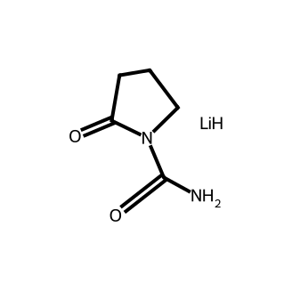 NC(=O)N1CCCC1=O.[LiH]